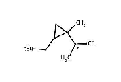 C[C@H](C(F)(F)F)C1(C)CC1CC(C)(C)C